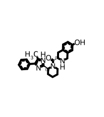 Cc1[nH]c([C@@H]2CCCCN2C(=O)[C@@H]2Cc3ccc(O)cc3CN2)nc1-c1ccccc1